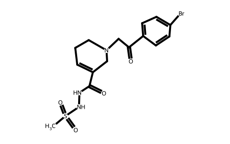 CS(=O)(=O)NNC(=O)C1=CCCN(CC(=O)c2ccc(Br)cc2)C1